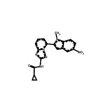 Cn1c(-c2cccc3nc(NC(=O)C4CC4)nn23)cc2cc([N+](=O)[O-])ccc21